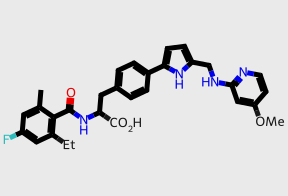 CCc1cc(F)cc(C)c1C(=O)NC(Cc1ccc(-c2ccc(CNc3cc(OC)ccn3)[nH]2)cc1)C(=O)O